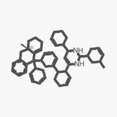 CC1C=CCC(C2NC(C3C=CCCC3C3=CC=CC(C4(C5C=CC=CC5)C5=CCCC[C@@]5(C)Cc5ccccc54)C3)=CC(C3C=CCCC3)N2)C1